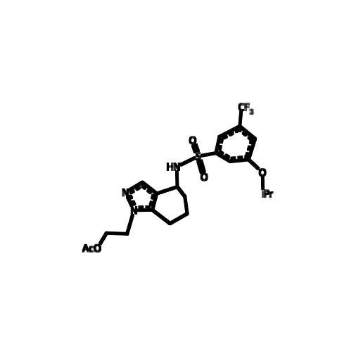 CC(=O)OCCn1ncc2c1CCCC2NS(=O)(=O)c1cc(OC(C)C)cc(C(F)(F)F)c1